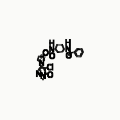 Cn1ncc(N2CC[C@@H](OC(=O)N[C@H]3CC[C@@H](NC(=O)c4ccccc4)CC3)C2)c(Cl)c1=O